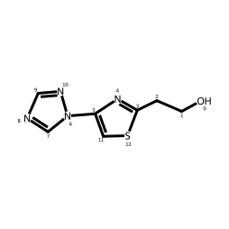 OCCc1nc(-n2cncn2)cs1